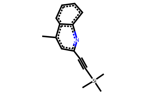 Cc1cc(C#C[Si](C)(C)C)nc2ccccc12